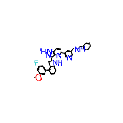 COc1cc(F)cc(-c2cccc3[nH]c(-c4n[nH]c5ccc(-c6cncc(CNCc7ccccc7)c6)nc45)cc23)c1